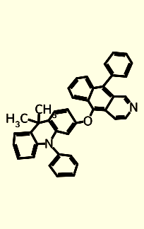 CC1(C)c2ccccc2N(c2ccccc2)c2cc(Oc3c4ccccc4c(-c4ccccc4)c4cnccc34)ccc21